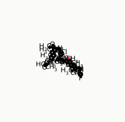 CC(C)C1=C2C3CCC4C(C)(CCC5C(C)(C)[C@@H](OC(=O)CC(C)(C)C(=O)O)CC[C@@]54C)[C@]3(C)CC[C@@]2(Cc2nnc(-c3cc(CC(C)(CC(=O)O[C@H]4CC[C@]5(C)C6CC[C@@H]7C8=C(C(C)C)C(=O)C[C@]8(Cc8nnc(-c9ccc(F)cc9)o8)CC[C@@]7(C)[C@]6(C)CC[C@@H]5C4(C)C)C(=O)O)ccc3Cl)o2)CC1=O